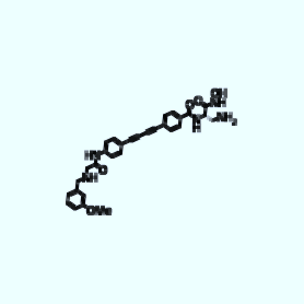 COc1cccc(CNCC(=O)Nc2ccc(C#CC#Cc3ccc(C(=O)N[C@@H](CN)C(=O)NO)cc3)cc2)c1